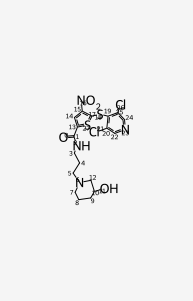 O=C(NCCCN1CCCC(O)C1)c1cc([N+](=O)[O-])c(Sc2c(Cl)cncc2Cl)s1